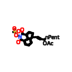 CCCCCC(C#Cc1ccc2c3c(cccc13)C(=O)N(OS(C)(=O)=O)C2=O)OC(C)=O